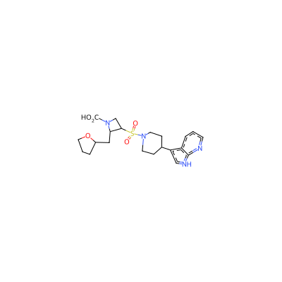 O=C(O)N1CC(S(=O)(=O)N2CCC(c3c[nH]c4ncccc34)CC2)C1CC1CCCO1